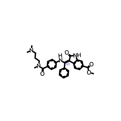 COC(=O)c1ccc2c(c1)NC(=O)/C2=C(\Nc1ccc(C(=O)N(C)CCCN(C)C)cc1)c1ccccc1